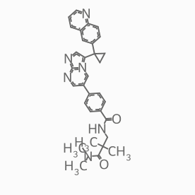 CN(C)C(=O)C(C)(C)CNC(=O)c1ccc(-c2cnc3ncc(C4(c5ccc6ncccc6c5)CC4)n3c2)cc1